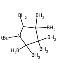 BC1N(C(C)(C)C)C(B)(B)C(B)(B)C1(B)B